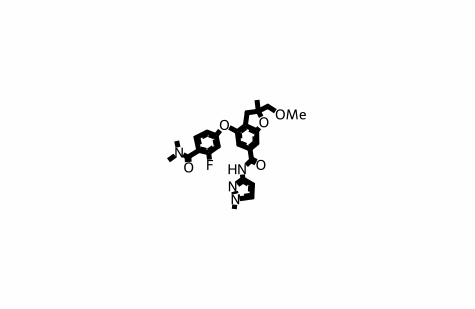 COCC1(C)Cc2c(Oc3ccc(C(=O)N(C)C)c(F)c3)cc(C(=O)Nc3ccn(C)n3)cc2O1